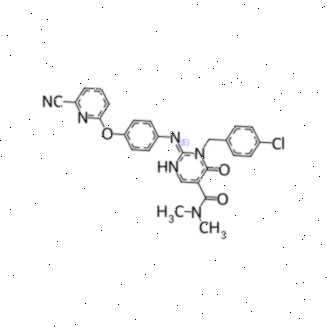 CN(C)C(=O)c1c[nH]/c(=N\c2ccc(Oc3cccc(C#N)n3)cc2)n(Cc2ccc(Cl)cc2)c1=O